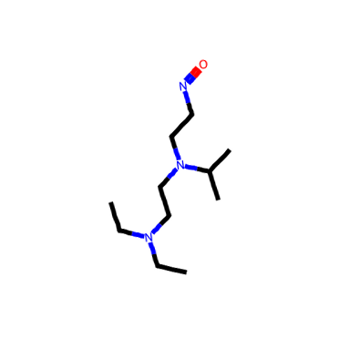 CCN(CC)CCN(CCN=O)C(C)C